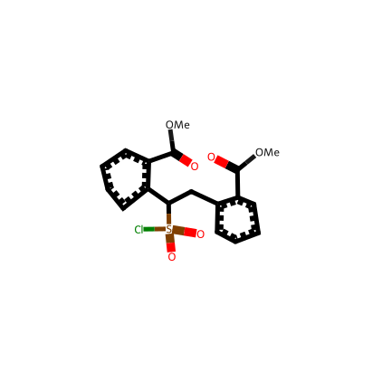 COC(=O)c1ccccc1CC(c1ccccc1C(=O)OC)S(=O)(=O)Cl